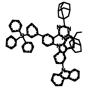 CCC1(c2nc(-c3cc(-c4cccc([Si](c5ccccc5)(c5ccccc5)c5ccccc5)c4)ccc3-n3c4ccccc4c4cc(-n5c6ccccc6c6ccccc65)ccc43)nc(C34CC5CC(CC(C5)C3)C4)n2)CC2CCC(C2)C1